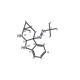 CC(C)(C)/N=N/C12CC3CC3(C)NC1Nc1ccccc12